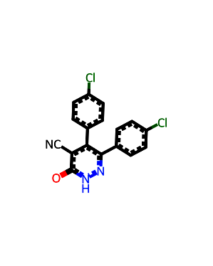 N#Cc1c(-c2ccc(Cl)cc2)c(-c2ccc(Cl)cc2)n[nH]c1=O